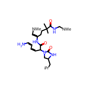 CN/C=C(\CCC(C)(C)C(=O)NCNC)NC(=O)C(/C=C\C=C/N)N1CC(CC(C)C)NC1=O